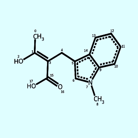 C/C(O)=C(\Cc1cn(C)c2ccccc12)C(=O)O